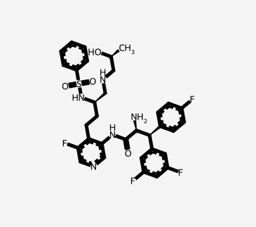 C[C@H](O)CNC[C@@H](CCc1c(F)cncc1NC(=O)[C@@H](N)[C@@H](c1ccc(F)cc1)c1cc(F)cc(F)c1)NS(=O)(=O)c1ccccc1